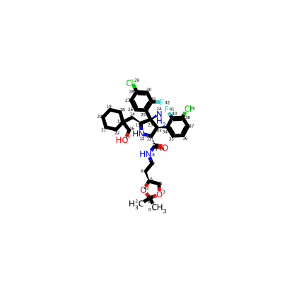 CC1(C)OC[C@H](CCNC(=O)[C@@H]2N[C@@H](CC3(CO)CCCCC3)[C@](N)(c3ccc(Cl)cc3F)[C@H]2c2cccc(Cl)c2F)O1